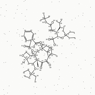 CC[Si](CC)(CC)OC(C(=O)O[C@H]1C[C@@]2(O)[C@@H](OC(=O)c3ccccc3)[C@@H]3[C@]4(OC(C)=O)CO[C@@H]4CC(O[Si](CC)(CC)CC)[C@@]3(C)C(=O)C(=O)C(=C1C)C2(C)C)[C@H](CC(C)C)NC(=O)OC(C)(C)C